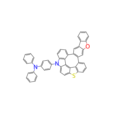 c1ccc(N(c2ccccc2)c2ccc(-n3c4cccc5c6cc7c(cc6c6cccc8sc9ccc3c(c9c86)c54)oc3ccccc37)cc2)cc1